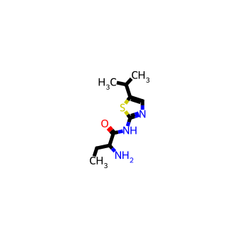 CCC(N)C(=O)Nc1ncc(C(C)C)s1